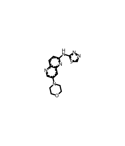 c1nnc(Nc2ccc3ncc(N4CCOCC4)cc3n2)s1